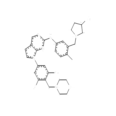 Cc1ccc(Nc2ncc3ccn(-c4cc(F)c(CN5CCOCC5)c(F)c4)c3n2)cc1CN1CCC(O)C1